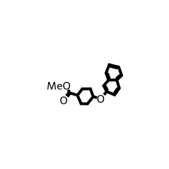 COC(=O)C1CCC(Oc2ccc3ccccc3c2)CC1